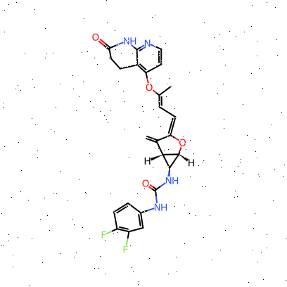 C=C1/C(=C\C=C(/C)Oc2ccnc3c2CCC(=O)N3)O[C@@H]2[C@@H](NC(=O)Nc3ccc(F)c(F)c3)[C@H]12